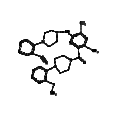 Cc1cc(C)c(C(=O)N2CCN(c3ccccc3SN)CC2)nc1NC1CCN(c2ccccc2C#N)CC1